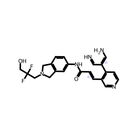 N=C/C(=C\N)c1ccncc1/C=C/C(=O)Nc1ccc2c(c1)CN(CC(F)(F)CO)C2